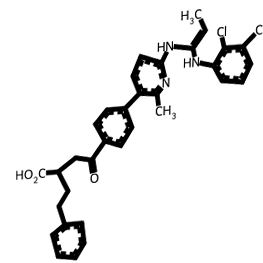 C/C=C(\Nc1ccc(-c2ccc(C(=O)CC(CCc3ccccc3)C(=O)O)cc2)c(C)n1)Nc1cccc(Cl)c1Cl